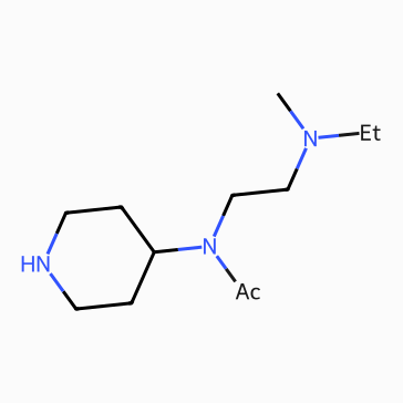 CCN(C)CCN(C(C)=O)C1CCNCC1